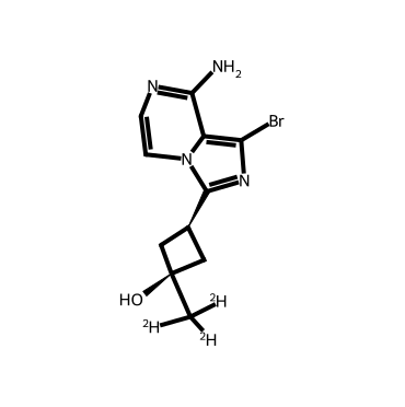 [2H]C([2H])([2H])[C@]1(O)C[C@@H](c2nc(Br)c3c(N)nccn32)C1